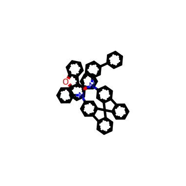 c1ccc(-c2cccc(N(c3ccc4c(c3)C3(c5ccccc5-c5ccc(N(c6ccccc6)c6ccccc6)cc53)c3ccccc3-4)c3cccc4oc5ccccc5c34)c2)cc1